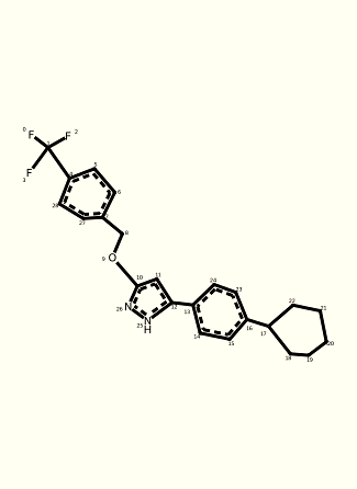 FC(F)(F)c1ccc(COc2cc(-c3ccc(C4CC[CH]CC4)cc3)[nH]n2)cc1